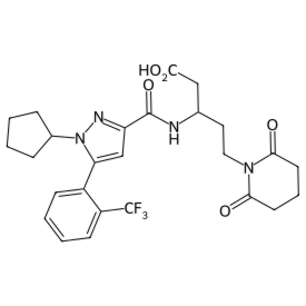 O=C(O)CC(CCN1C(=O)CCCC1=O)NC(=O)c1cc(-c2ccccc2C(F)(F)F)n(C2CCCC2)n1